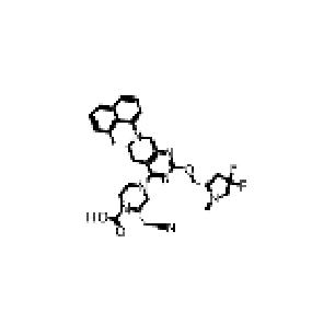 Cc1cccc2cccc(N3CCc4c(nc(OC[C@@H]5CC(F)(F)CN5C)nc4N4CCN(C(=O)O)[C@@H](CC#N)C4)C3)c12